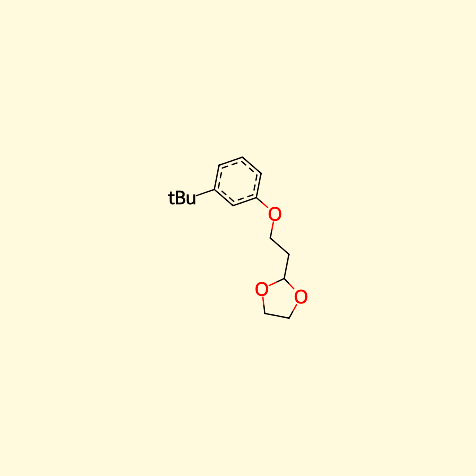 CC(C)(C)c1cccc(OCCC2OCCO2)c1